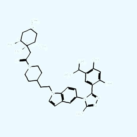 CC(C)c1cc(-c2nnc(O)n2-c2ccc3c(ccn3CCC3CCN(C(=O)C[C@@]4(O)[C@@H](C)C[C@@H](C)C[C@@H]4O)CC3)c2)c(O)cc1O